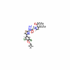 CNC(=O)c1c(NC)ccn1CC(=O)Nc1nc(-c2cc(F)c(OCC3CCC3)c(F)c2)cs1